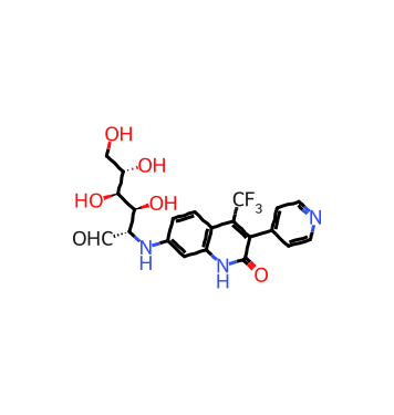 O=C[C@@H](Nc1ccc2c(C(F)(F)F)c(-c3ccncc3)c(=O)[nH]c2c1)[C@H](O)[C@@H](O)[C@@H](O)CO